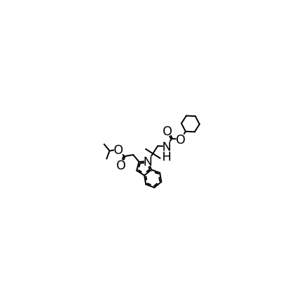 CC(C)OC(=O)Cc1cc2ccccc2n1C(C)(C)CNC(=O)OC1CCCCC1